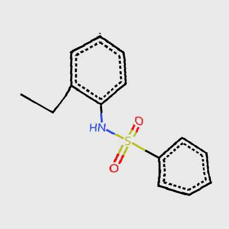 CCc1c[c]ccc1NS(=O)(=O)c1ccccc1